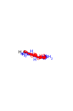 COCC/C(N)=C/N(N)CCCCNC(=O)CCC(NC(=O)CCCNC(=O)c1ccc(NCc2cnc3nc(N)nc(O)c3n2)cc1)C(=O)O